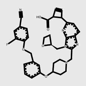 N#Cc1ccc(OCc2cccc(OC3CCN(Cc4nc5ccc(C6C#CC6C(=O)O)nc5n4C[C@@H]4CCO4)CC3)c2)c(F)c1